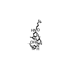 Cc1cn(-c2nc(Nc3cnn(C[C@H](C)O)c3)ncc2F)c2ncc(NC(=O)/C=C/CN(C)C)cc12